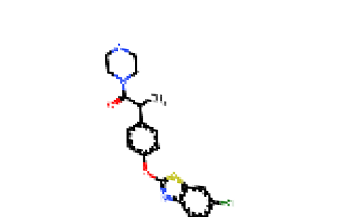 CC(C(=O)N1CCNCC1)c1ccc(Oc2nc3ccc(Cl)cc3s2)cc1